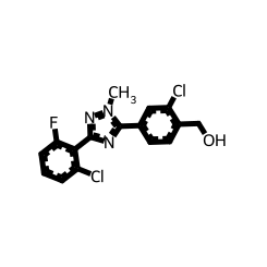 Cn1nc(-c2c(F)cccc2Cl)nc1-c1ccc(CO)c(Cl)c1